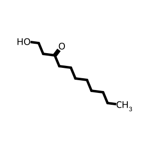 CCCCCCCCC(=O)CCO